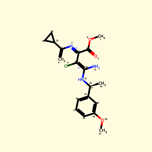 C=C(/N=C(C(=O)OC)\C(Cl)=C(/N)N[C@@H](C)c1cccc(OC)c1)C1CC1